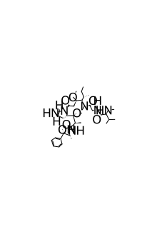 CC[C@H](C)[C@@H]([C@@H](CC(=O)N1[C@H]([C@H](OC)[C@@H](C)C(=O)N[C@H](C)[C@@H](O)c2ccccc2)C[C@@H]2N[C@@H]21)OC)N(C)C(=O)CNC(=O)[C@@H](NC)C(C)C